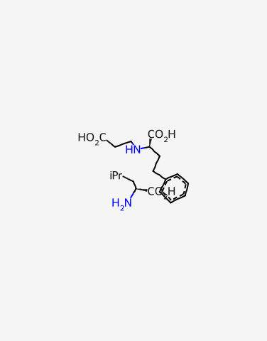 CC(C)C[C@H](N)C(=O)O.O=C(O)CCN[C@H](CCc1ccccc1)C(=O)O